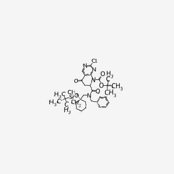 CC(C)(C)OC(=O)N1c2nc(Cl)ncc2C(=O)CC1C(=O)N(Cc1ccccc1)CC1(O[Si](C)(C)C(C)(C)C)CCCCC1